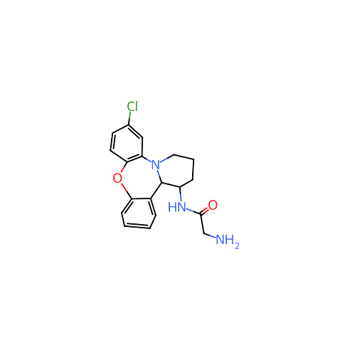 NCC(=O)NC1CCCN2c3cc(Cl)ccc3Oc3ccccc3C12